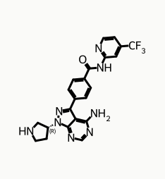 Nc1ncnc2c1c(-c1ccc(C(=O)Nc3cc(C(F)(F)F)ccn3)cc1)nn2[C@@H]1CCNC1